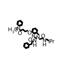 CC(C)CNC(=O)CN1Cc2cccc(OCCCC(=O)N(C)c3ccccc3)c2N=C1NC(=O)Cc1ccccc1